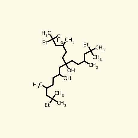 CCC(C)(C)CC(C)CCC(O)CC(O)(CCC(C)CC(C)(C)CC)CCC(C)CC(C)(C)CC